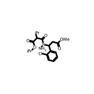 COC(=O)CC(c1ccccc1Cl)N(N)C(=O)C(C(=O)OC(C)C)C(C)C